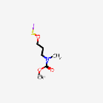 CN(CCCOSI)C(=O)OC(C)(C)C